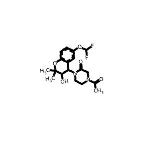 CC(=O)N1CCN(C2c3cc(OC(F)F)ccc3OC(C)(C)C2O)C(=O)C1